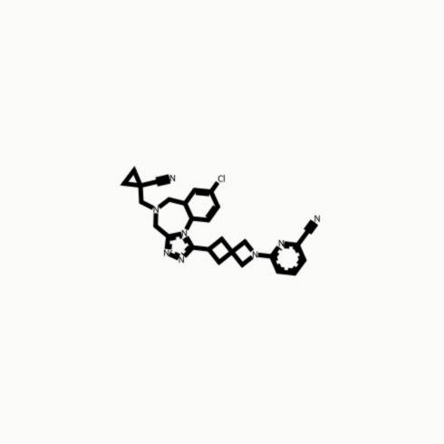 N#Cc1cccc(N2CC3(CC(c4nnc5n4C4C=CC(Cl)=CC4CN(CC4(C#N)CC4)C5)C3)C2)n1